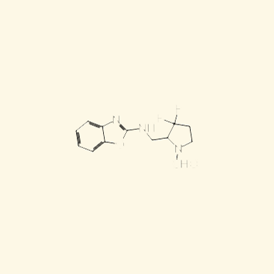 O=CN1CCC(F)(F)C1CNc1nc2ccccc2o1